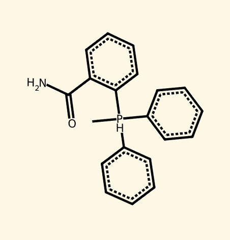 C[PH](c1ccccc1)(c1ccccc1)c1ccccc1C(N)=O